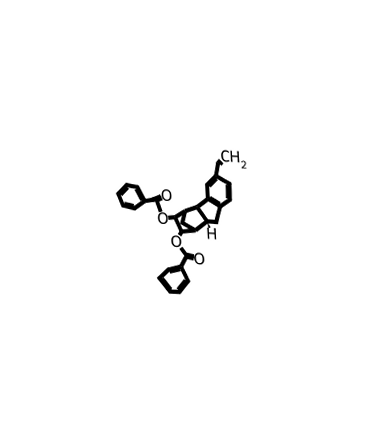 C=Cc1ccc2c(c1)C1C3CC(C(OC(=O)c4ccccc4)C3OC(=O)c3ccccc3)[C@@H]1C2